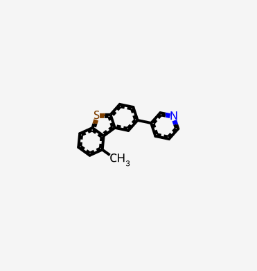 Cc1cccc2sc3ccc(-c4cccnc4)cc3c12